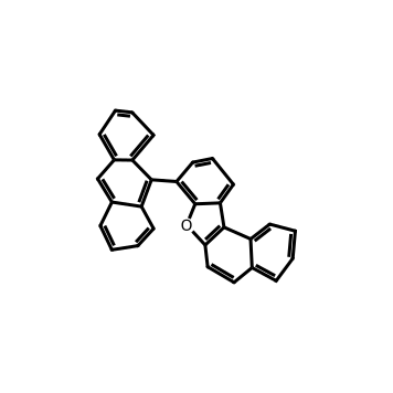 c1ccc2c(-c3cccc4c3oc3ccc5ccccc5c34)c3ccccc3cc2c1